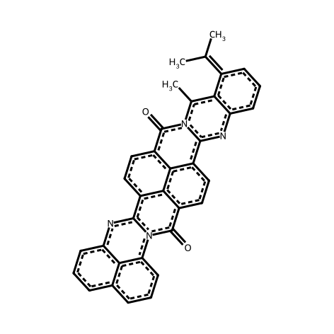 CC(C)=c1cccc2nc3c4ccc5c(=O)n6c7cccc8cccc(nc6c6ccc(c(=O)n3c(C)c12)c4c56)c87